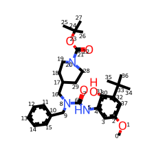 COc1cc(NC(=O)N(Cc2ccccc2)CC2CCN(C(=O)OC(C)(C)C)CC2)c(O)c(C(C)(C)C)c1